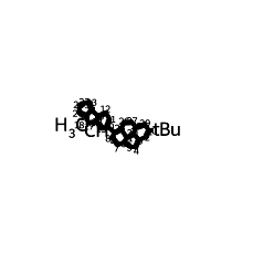 CC(C)(C)c1cc2ccc3ccc(-c4ccc5c(c4)C(C)(C)c4ccccc4-5)c4ccc(c1)c2c34